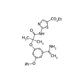 C=C(N)c1cc(OC(C)C)cc(OC(C)(C)C(=O)Nc2ncc(C(=O)OCC)s2)c1